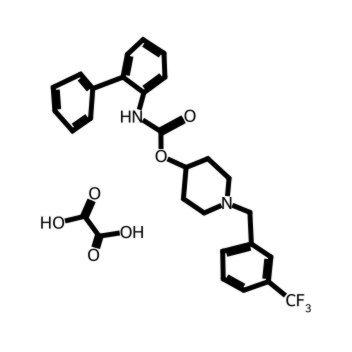 O=C(Nc1ccccc1-c1ccccc1)OC1CCN(Cc2cccc(C(F)(F)F)c2)CC1.O=C(O)C(=O)O